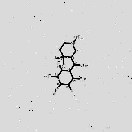 CC1(C)CCN(C(C)(C)C)CC1C(=O)C1C(F)C(F)C(F)C(F)C1F